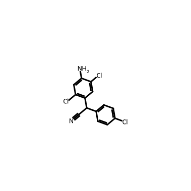 N#CC(c1ccc(Cl)cc1)c1cc(Cl)c(N)cc1Cl